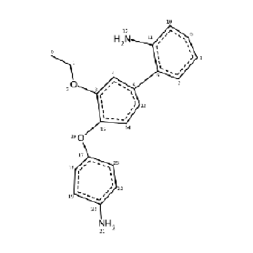 CCOc1cc(-c2ccccc2N)ccc1Oc1ccc(N)cc1